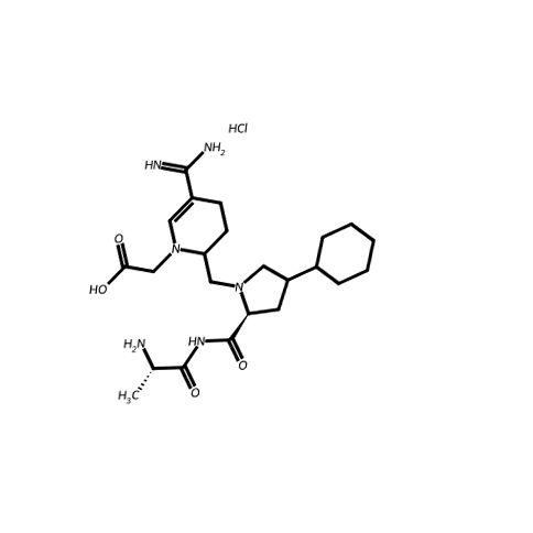 C[C@H](N)C(=O)NC(=O)[C@@H]1CC(C2CCCCC2)CN1CC1CCC(C(=N)N)=CN1CC(=O)O.Cl